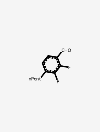 CCCCCc1ccc(C=O)c(F)c1F